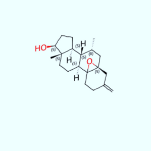 C=C1CCC23O[C@]2(C1)C[C@@H](C)[C@@H]1[C@@H]3CC[C@]2(C)[C@@H](O)CC[C@@H]12